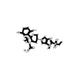 CCS(=O)(=O)c1nc2c(n1C)CN([C@H]1CO[C@@](c3cc(F)ccc3F)(C(C)(C)C)[C@@H](OC(N)=O)C1)C2